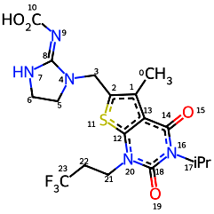 Cc1c(CN2CCN/C2=N\C(=O)O)sc2c1c(=O)n(C(C)C)c(=O)n2CCC(F)(F)F